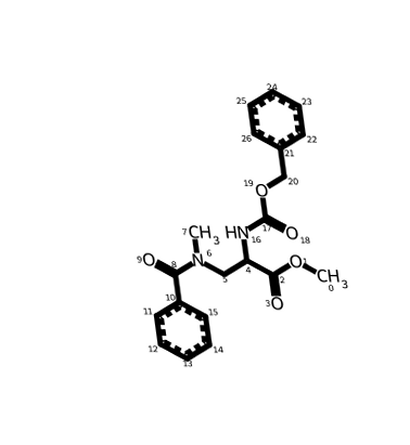 COC(=O)C(CN(C)C(=O)c1ccccc1)NC(=O)OCc1ccccc1